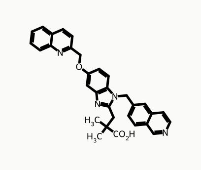 CC(C)(Cc1nc2cc(OCc3ccc4ccccc4n3)ccc2n1Cc1ccc2cnccc2c1)C(=O)O